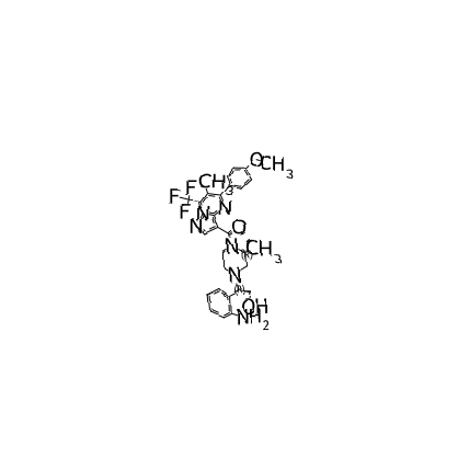 COc1ccc(-c2nc3c(C(=O)N4CCN([C@@H](CO)c5ccccc5N)C[C@H]4C)cnn3c(C(F)(F)F)c2C)cc1